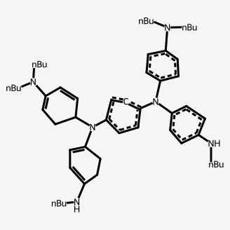 CCCCNC1=CC=C(N(c2ccc(N(c3ccc(NCCCC)cc3)c3ccc(N(CCCC)CCCC)cc3)cc2)C2C=CC(N(CCCC)CCCC)=CC2)CC1